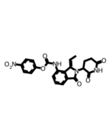 CC=C1c2c(NC(=O)Oc3ccc([N+](=O)[O-])cc3)cccc2C(=O)N1C1CCC(=O)NC1=O